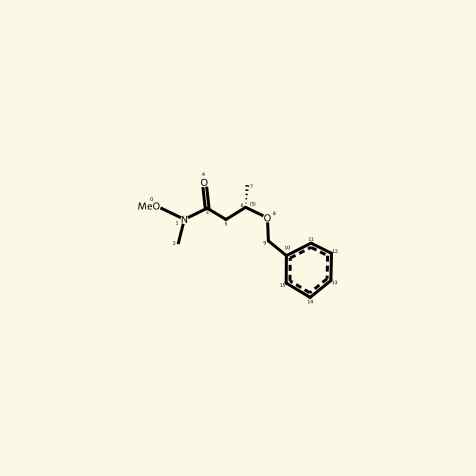 CON(C)C(=O)C[C@H](C)OCc1ccccc1